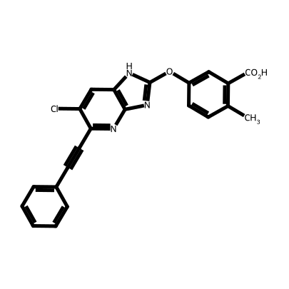 Cc1ccc(Oc2nc3nc(C#Cc4ccccc4)c(Cl)cc3[nH]2)cc1C(=O)O